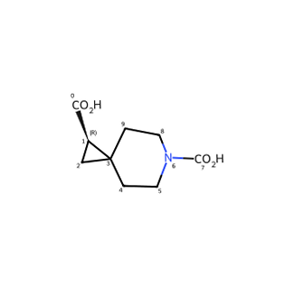 O=C(O)[C@@H]1CC12CCN(C(=O)O)CC2